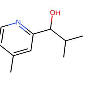 Cc1ccnc(C(O)C(C)C)c1